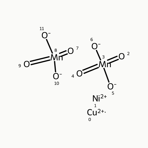 [Cu+2].[Ni+2].[O]=[Mn](=[O])([O-])[O-].[O]=[Mn](=[O])([O-])[O-]